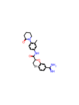 Cc1cc(NC(=O)C(CC(C)C)Oc2cccc(C(=N)N)c2)ccc1N1CCCCC1=O